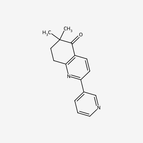 CC1(C)CCc2nc(-c3cccnc3)ccc2C1=O